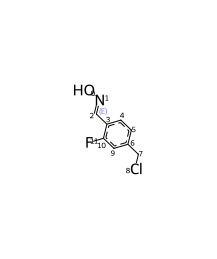 O/N=C/c1ccc(CCl)cc1F